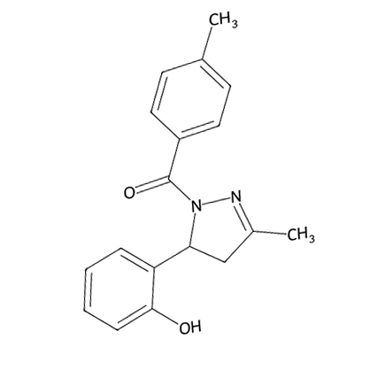 CC1=NN(C(=O)c2ccc(C)cc2)C(c2ccccc2O)C1